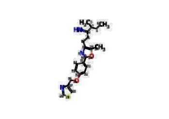 CCC(C)C(=N)CCc1nc(-c2ccc(OCc3cscn3)cc2)oc1C